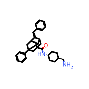 NC[C@H]1CC[C@H](NC(=O)C23CC4CC(c5ccccc5)(CC(C2)C4=Cc2ccccc2)C3)CC1